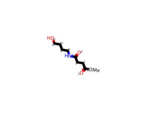 COC(=O)CCC(=O)NCCCCO